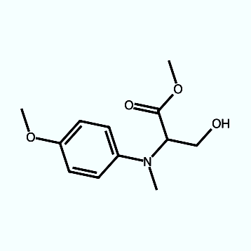 COC(=O)C(CO)N(C)c1ccc(OC)cc1